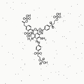 C=C(Cc1ccc(N=Nc2c(N)c(N=Nc3ccc(S(=O)(=O)CCOS(=O)(=O)O)cc3)c(N)c(N=Nc3ccc(S(=O)(=O)CCOS(=O)(=O)O)cc3)c2C(=O)O)c(S(=O)(=O)O)c1)OS(=O)(=O)O